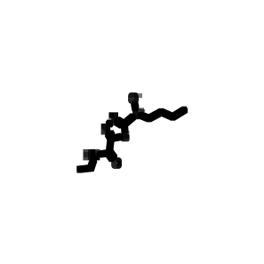 CCCC[S+]([O-])c1nnc(C(=O)NCC)s1